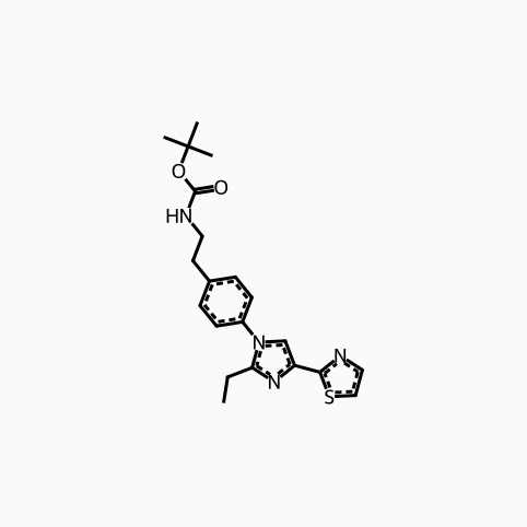 CCc1nc(-c2nccs2)cn1-c1ccc(CCNC(=O)OC(C)(C)C)cc1